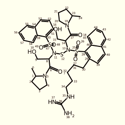 CC1CCCN1C(=O)C(CO)N(SN(C(CO)C(=O)N1CCCC1C)S(=O)(=O)c1c(CCCCCNC(=N)N)ccc2ccccc12)S(=O)(=O)c1cccc2ccccc12